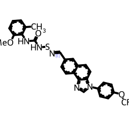 COc1cccc(C)c1NC(=O)NS/N=C/c1ccc2c(ccc3c2ncn3-c2ccc(OC(F)(F)F)cc2)c1